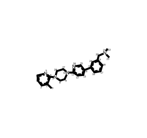 Cc1cccnc1N1CCN(c2ccc(-c3cccc(CN(C)C)c3)cn2)CC1